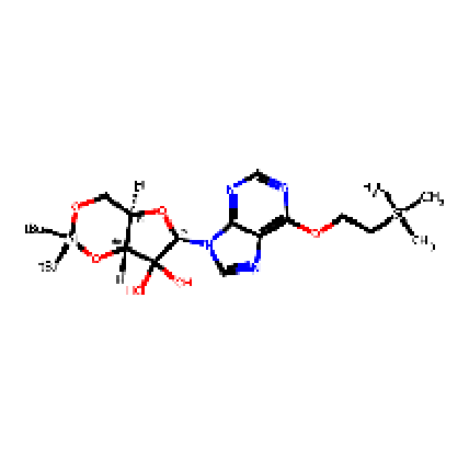 CC(C)(C)[Si]1(C(C)(C)C)OC[C@H]2O[C@@H](n3cnc4c(OCC[Si](C)(C)C)ncnc43)C(O)(O)[C@@H]2O1